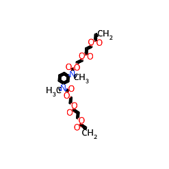 C=CC(=O)OCCC(=O)OCCOC(=O)N(C)C1CCCC(N(C)C(=O)OCCOC(=O)CCOC(=O)C=C)C1